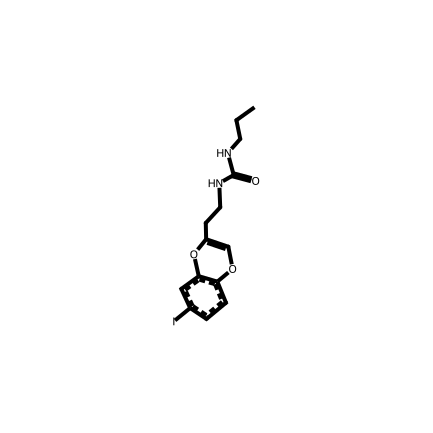 CCCNC(=O)NCCC1=COc2ccc(I)cc2O1